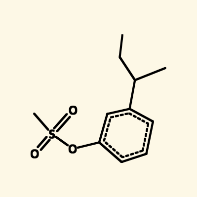 CCC(C)c1cccc(OS(C)(=O)=O)c1